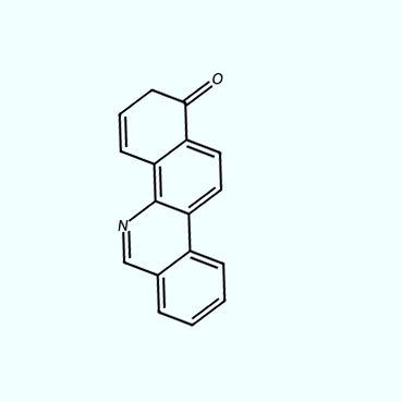 O=C1CC=Cc2c1ccc1c2ncc2ccccc21